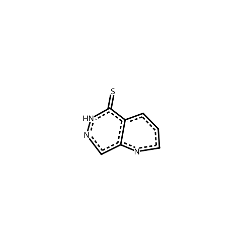 S=c1[nH]ncc2ncccc12